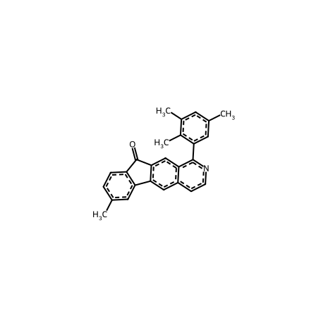 Cc1ccc2c(c1)-c1cc3ccnc(-c4cc(C)cc(C)c4C)c3cc1C2=O